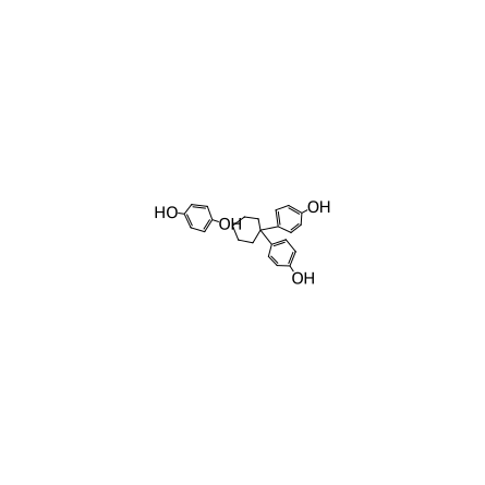 Oc1ccc(C2(c3ccc(O)cc3)CCCCC2)cc1.Oc1ccc(O)cc1